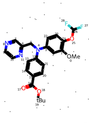 COc1cc(N(Cc2cnccn2)c2ccc(C(=O)OC(C)(C)C)cc2)ccc1OC(F)F